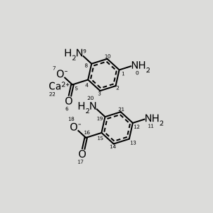 Nc1ccc(C(=O)[O-])c(N)c1.Nc1ccc(C(=O)[O-])c(N)c1.[Ca+2]